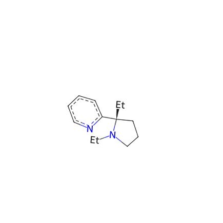 CCN1CCC[C@@]1(CC)c1ccccn1